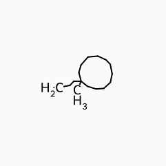 [CH2]CCC1(C)CCCCCCCCCCC1